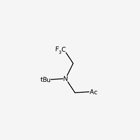 CC(=O)CN(CC(F)(F)F)C(C)(C)C